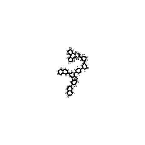 C1=CC(c2ccc(-c3cc(-c4ccc5ccccc5c4)cc4c3sc3ccc(-c5ccc6ccccc6c5)cc34)cc2)=CC(c2cccc(-c3cnc4c5ccccc5c5ccccc5c4n3)c2)C1